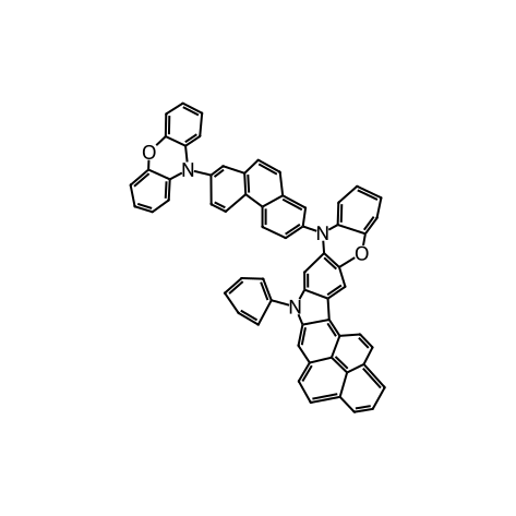 c1ccc(-n2c3cc4c(cc3c3c5ccc6cccc7ccc(cc32)c5c76)oc2ccccc2n4-c2ccc3c(ccc4cc(N5c6ccccc6Oc6ccccc65)ccc43)c2)cc1